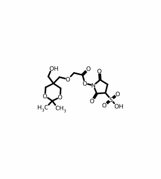 CC1(C)OCC(CO)(COCC(=O)ON2C(=O)CC(S(=O)(=O)O)C2=O)CO1